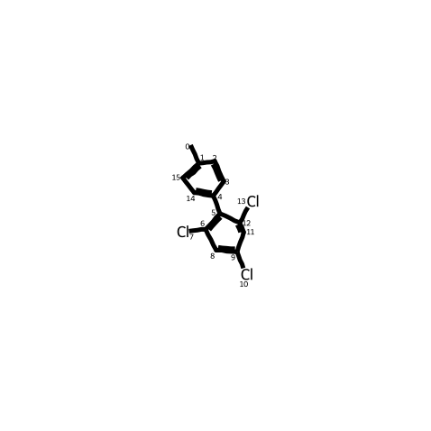 [CH2]c1ccc(-c2c(Cl)cc(Cl)cc2Cl)cc1